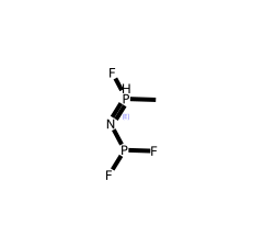 C/[PH](F)=N\P(F)F